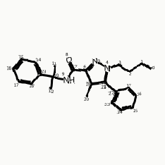 CCCCN1N=C(C(=O)NC(C)(C)c2ccccc2)C(C)C1c1ccccc1